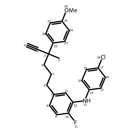 C#CC(C)(CCCc1ccc(F)c(Nc2ccc(Cl)cc2)c1)c1ccc(OC)cc1